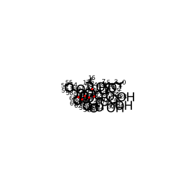 CC(C)=CCCC1(C)C=Cc2c(c(CC=C(C)C)c3c(c2O[C@@H]2O[C@H](CO)[C@@H](O)[C@H](O)[C@H]2O)C(=O)C2=CC4CC5C(C)(C)OC(C/C=C(/C)C(=O)OC(c6ccccc6)c6ccccc6)(C4=O)C25O3)O1